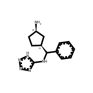 N[C@@H]1CC[C@H](C(Nc2nnn[nH]2)c2ccccc2)C1